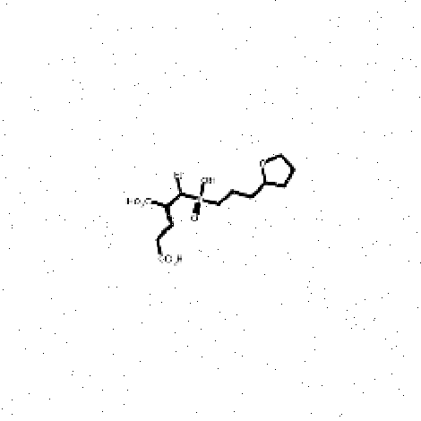 CCC(C(CCC(=O)O)C(=O)O)P(=O)(O)CCCC1CCCO1